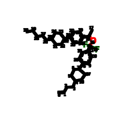 C=CCCC1CCC(c2ccc(C(F)(F)OC(C)c3ccc(C4CCC(CCCCC)CC4)cc3)cc2)CC1